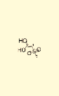 CS(=O)(=O)C=C(O)O